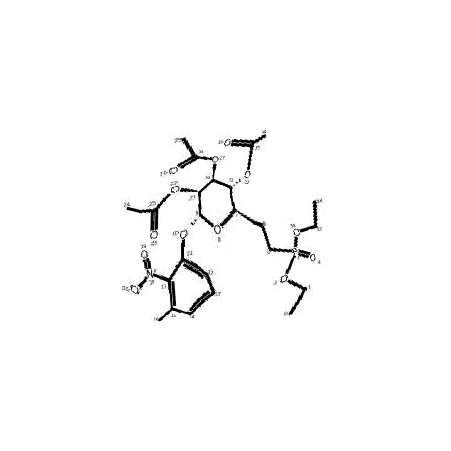 CCOP(=O)(CC[C@H]1O[C@H](Oc2cccc(C)c2[N+](=O)[O-])[C@@H](OC(C)=O)[C@@H](OC(C)=O)[C@@H]1OC(C)=O)OCC